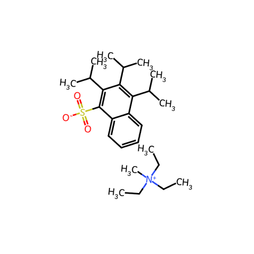 CC(C)c1c(C(C)C)c(S(=O)(=O)[O-])c2ccccc2c1C(C)C.CC[N+](C)(CC)CC